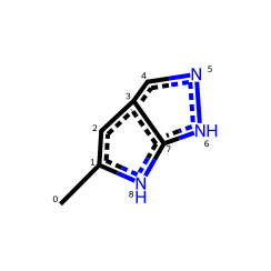 Cc1cc2cn[nH]c2[nH]1